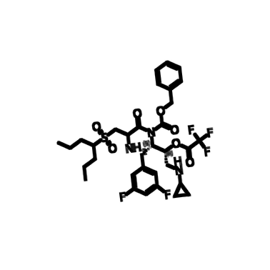 CCCC(CCC)S(=O)(=O)CC(N)C(=O)N(C(=O)OCc1ccccc1)[C@@H](Cc1cc(F)cc(F)c1)[C@@H](CNC1CC1)OC(=O)C(F)(F)F